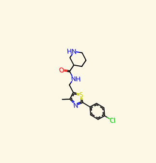 Cc1nc(-c2ccc(Cl)cc2)sc1CNC(=O)C1CCCNC1